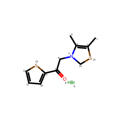 Br.CC1=C(C)N(CC(=O)c2cccs2)CS1